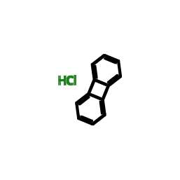 Cl.c1ccc2c(c1)-c1ccccc1-2